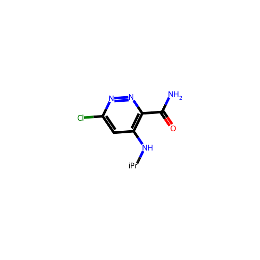 CC(C)Nc1cc(Cl)nnc1C(N)=O